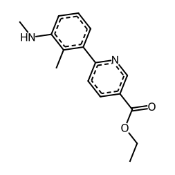 CCOC(=O)c1ccc(-c2cccc(NC)c2C)nc1